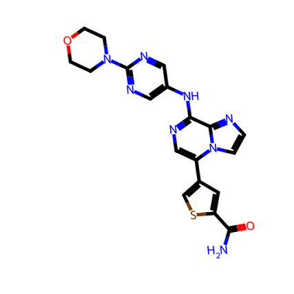 NC(=O)c1cc(-c2cnc(Nc3cnc(N4CCOCC4)nc3)c3nccn23)cs1